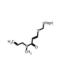 C=CCN(C)C(=O)C=CSCCCCCCCC